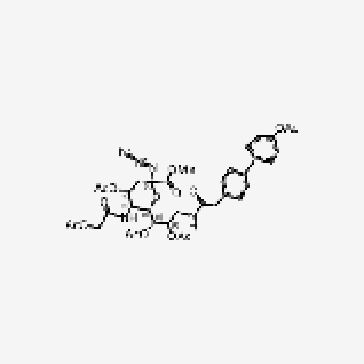 COC(=O)[C@@]1(N=[N+]=[N-])C[C@H](OC(C)=O)[C@@H](NC(=O)COC(C)=O)[C@H]([C@H](OC(C)=O)[C@@H](CNC(=O)Cc2ccc(-c3ccc(OC(C)=O)cc3)cc2)OC(C)=O)O1